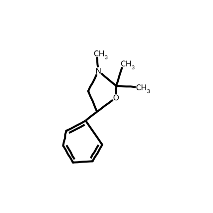 CN1CC(c2ccccc2)OC1(C)C